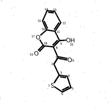 O=C(Cc1cccs1)c1c(O)c2ccccc2oc1=O